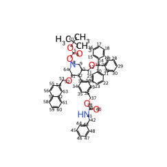 CC(C)(C)OC(=O)ON1CC(COC(c2ccccc2)(c2ccccc2)c2ccccc2)C(c2ccc(COC(=O)NCc3ccccc3)cc2)C(OCc2ccc3ccccc3c2)C1